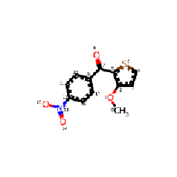 COc1ccsc1C(=O)c1ccc([N+](=O)[O-])cc1